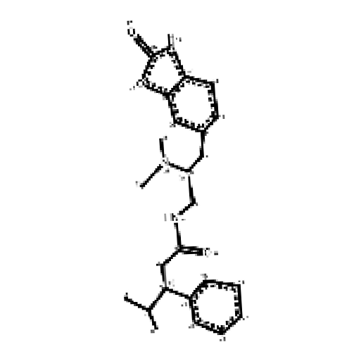 CC(C)[C@@H](CC(=O)NC[C@H](Cc1ccc2[nH]c(=O)oc2c1)N(C)C)c1ccccc1